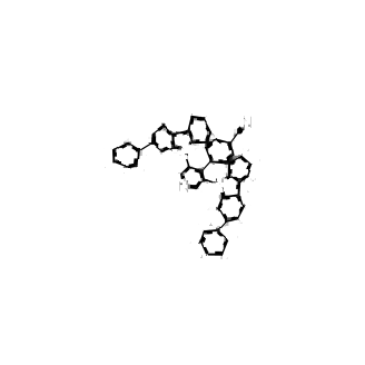 N#Cc1ccc(-c2c(-n3c4ccccc4c4ccc(-c5ccccc5)cc43)cncc2-n2c3ccccc3c3ccc(-c4ccccc4)cc32)cc1